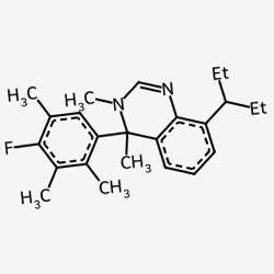 CCC(CC)c1cccc2c1N=CN(C)C2(C)c1cc(C)c(F)c(C)c1C